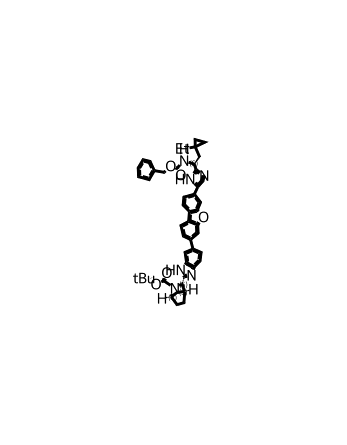 CCC1(C[C@H](NC(=O)OCc2ccccc2)c2ncc(-c3ccc4c(c3)oc3cc(-c5ccc6nc([C@@H]7[C@H]8CC[C@H](C8)N7C(=O)OC(C)(C)C)[nH]c6c5)ccc34)[nH]2)CC1